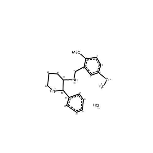 COc1ccc(OC(F)(F)F)cc1CNC1CCCNC1c1ccccc1.Cl